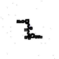 COc1cccc(/C=C/C(=O)NCCn2c(=O)oc3cc(OC)ccc32)c1